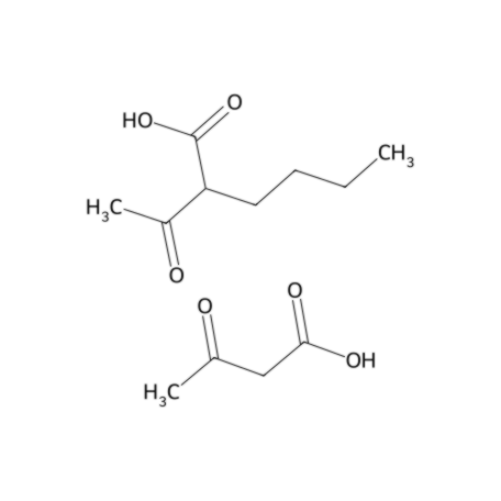 CC(=O)CC(=O)O.CCCCC(C(C)=O)C(=O)O